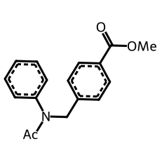 COC(=O)c1ccc(CN(C(C)=O)c2ccccc2)cc1